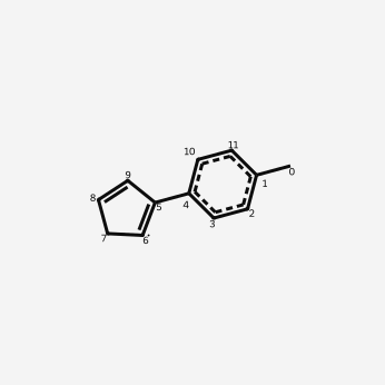 Cc1ccc(C2=[C]CC=C2)cc1